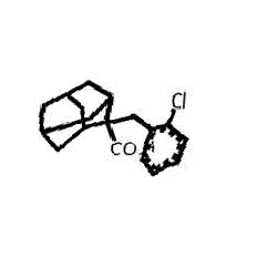 O=C(O)C1(Cc2ccccc2Cl)C2CC3CC(C2)CC1C3